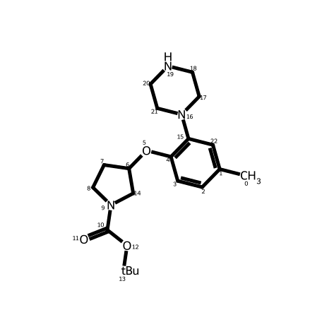 Cc1ccc(OC2CCN(C(=O)OC(C)(C)C)C2)c(N2CCNCC2)c1